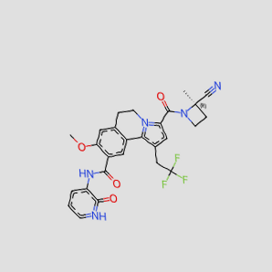 COc1cc2c(cc1C(=O)Nc1ccc[nH]c1=O)-c1c(CC(F)(F)F)cc(C(=O)N3CC[C@]3(C)C#N)n1CC2